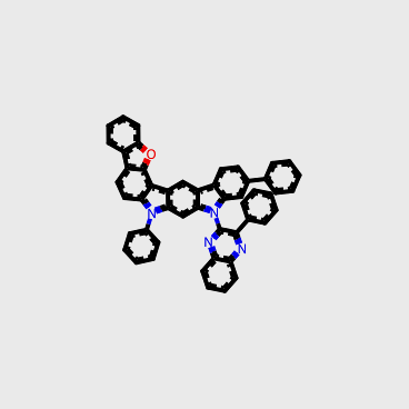 c1ccc(-c2ccc3c4cc5c6c7oc8ccccc8c7ccc6n(-c6ccccc6)c5cc4n(-c4nc5ccccc5nc4-c4ccccc4)c3c2)cc1